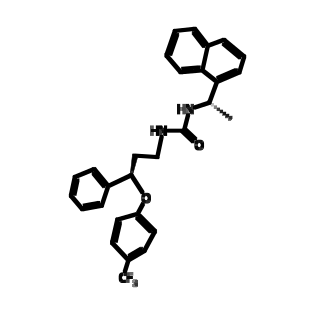 C[C@H](NC(=O)NCC[C@@H](Oc1ccc(C(F)(F)F)cc1)c1ccccc1)c1cccc2ccccc12